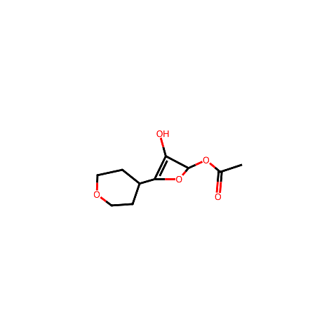 CC(=O)OC1OC(C2CCOCC2)=C1O